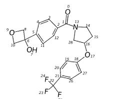 O=C(c1ccc(C2(O)COC2)cc1)N1CCC(Oc2ccc(C(F)(F)F)cc2)C1